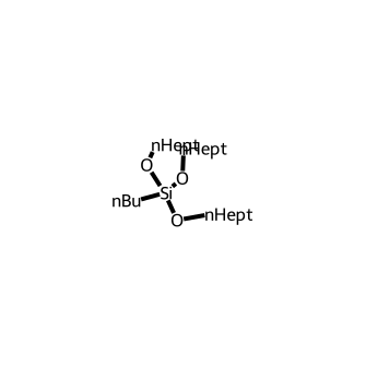 [CH2]CCC[Si](OCCCCCCC)(OCCCCCCC)OCCCCCCC